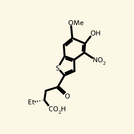 CC[C@H](CC(=O)c1cc2c([N+](=O)[O-])c(O)c(OC)cc2s1)C(=O)O